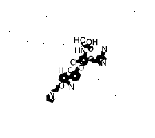 Cc1c(COc2cc(OCc3cncc(C#N)c3)c(CN[C@@H](CO)C(=O)O)cc2Cl)cccc1-c1cccc(OCCCN2CCCC2)c1C#N